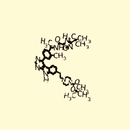 Cc1cc(-c2ncnc3[nH]c4cc(CCN5CCN(C(=O)OC(C)(C)C)CC5)ccc4c23)ccc1[C@@H](C)NC(=O)c1nc(C(C)(C)C)no1